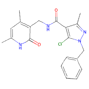 Cc1cc(C)c(CNC(=O)c2c(C)nn(Cc3ccccc3)c2Cl)c(=O)[nH]1